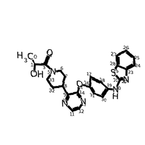 C[C@H](O)C(=O)N1CCC(c2nccnc2Oc2ccc(Nc3nc4ccccc4s3)cc2)CC1